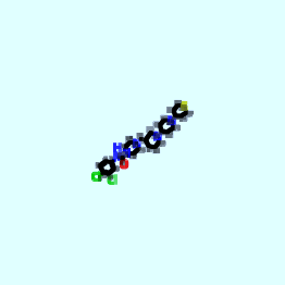 O=C(Nc1ccc(Cl)c(Cl)c1)N1CCN(C[C@@H]2CCCN(C3CCN(C4CCSCC4)CC3)C2)CC1